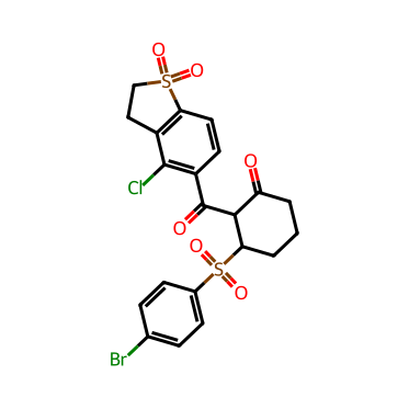 O=C1CCCC(S(=O)(=O)c2ccc(Br)cc2)C1C(=O)c1ccc2c(c1Cl)CCS2(=O)=O